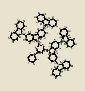 c1ccc(-c2nc(-n3c4ccc(-n5c6ccccc6c6ccccc65)cc4c4cc(-n5c6ccccc6c6ccccc65)ccc43)nc(-n3c4ccc(-n5c6ccccc6c6ccccc65)cc4c4cc(-n5c6ccccc6c6ccccc65)ccc43)n2)cc1